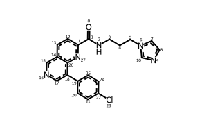 O=C(NCCCn1ccnc1)c1ccc2cncc(-c3ccc(Cl)cc3)c2n1